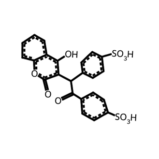 O=C(c1ccc(S(=O)(=O)O)cc1)C(c1ccc(S(=O)(=O)O)cc1)c1c(O)c2ccccc2oc1=O